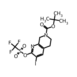 CC(C)(C)OC(=O)N1CCc2cc(I)c(OS(=O)(=O)C(F)(F)F)nc2C1